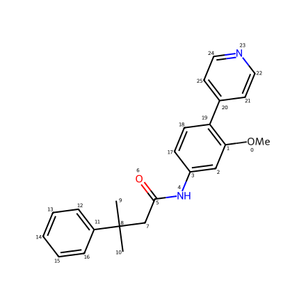 COc1cc(NC(=O)CC(C)(C)c2ccccc2)ccc1-c1ccncc1